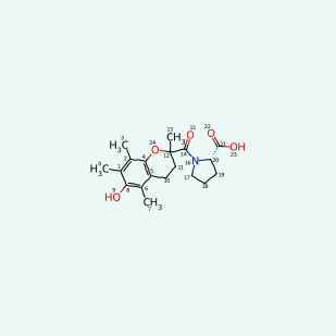 Cc1c(C)c2c(c(C)c1O)CCC(C)(C(=O)N1CCC[C@H]1C(=O)O)O2